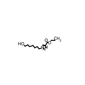 C=CCOC(=O)c1cn(CCCCCCCO)nn1